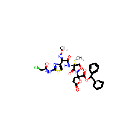 CO/N=C(\C(=O)N[C@]1(SC)CON(C2(C(=O)OC(c3ccccc3)c3ccccc3)CCC(=O)O2)C1=O)c1csc(NC(=O)CCl)n1